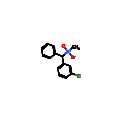 C[N+]([O-])(Br)C(c1ccccc1)c1cccc(Cl)c1